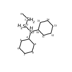 C[SiH2][SiH2][SiH](C1CCCCC1)C1CCCCC1